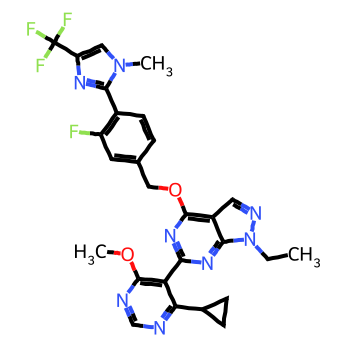 CCn1ncc2c(OCc3ccc(-c4nc(C(F)(F)F)cn4C)c(F)c3)nc(-c3c(OC)ncnc3C3CC3)nc21